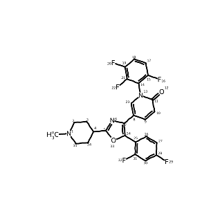 CN1CCC(c2nc(-c3ccc(=O)n(-c4c(F)ccc(F)c4F)c3)c(-c3ccc(F)cc3F)o2)CC1